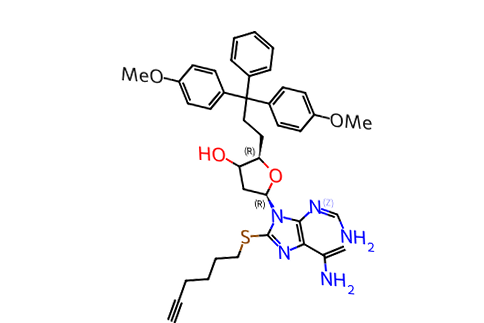 C#CCCCCSc1nc(C(=C)N)c(/N=C\N)n1[C@H]1CC(O)[C@@H](CCC(c2ccccc2)(c2ccc(OC)cc2)c2ccc(OC)cc2)O1